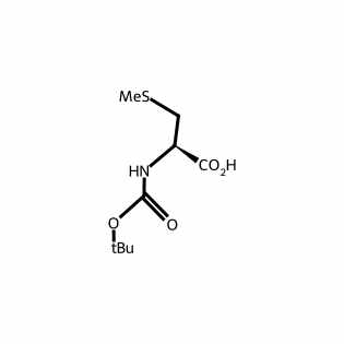 CSC[C@H](NC(=O)OC(C)(C)C)C(=O)O